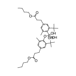 CCCCOC(=O)CCc1cc(C)c(OP(O)(O)(O)c2c(C)cc(CCC(=O)OCCCC)cc2C(C)(C)C)c(C(C)(C)C)c1